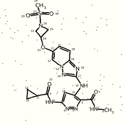 CNC(=O)c1nnc(NC(=O)C2CC2)cc1Nc1nc2ccc(OC3CN(S(C)(=O)=O)C3)cn2n1